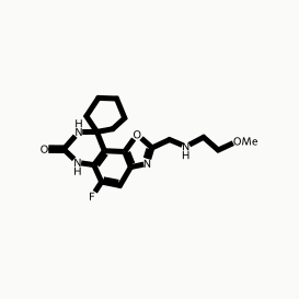 COCCNCc1nc2cc(F)c3c(c2o1)C1(CCCCC1)NC(=O)N3